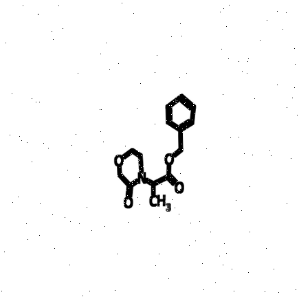 CC(C(=O)OCc1ccccc1)N1CCOCC1=O